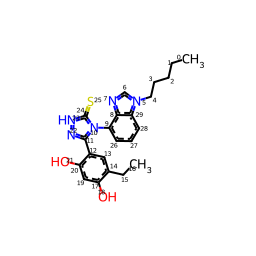 CCCCCn1cnc2c(-n3c(-c4cc(CC)c(O)cc4O)n[nH]c3=S)cccc21